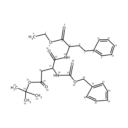 CCOC(=O)C(CCc1ccccc1)NC(=O)C(CC(=O)OC(C)(C)C)NC(=O)OCc1ccccc1